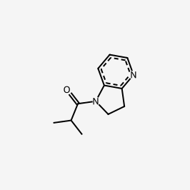 CC(C)C(=O)N1CCc2ncccc21